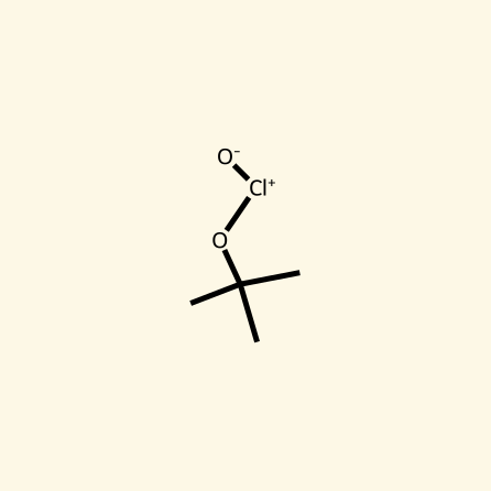 CC(C)(C)O[Cl+][O-]